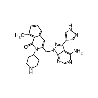 Cc1cccc2cc(Cn3nc(-c4cn[nH]c4)c4c(N)ncnc43)n(C3CCNCC3)c(=O)c12